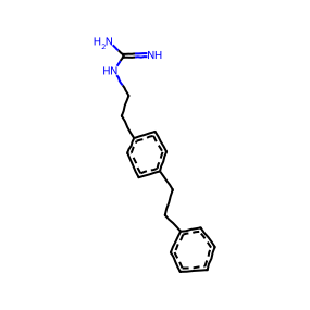 N=C(N)NCCc1ccc(CCc2ccccc2)cc1